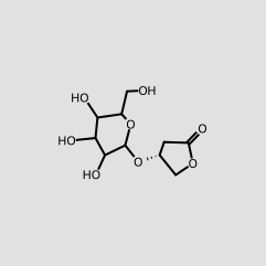 O=C1C[C@@H](OC2OC(CO)C(O)C(O)C2O)CO1